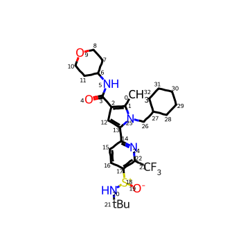 Cc1c(C(=O)NC2CCOCC2)cc(-c2ccc([S+]([O-])NC(C)(C)C)c(C(F)(F)F)n2)n1CC1CCCCC1